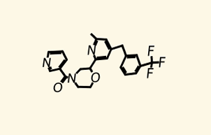 Cc1cc(Cc2cccc(C(F)(F)F)c2)cc(C2CN(C(=O)c3cccnc3)CCO2)n1